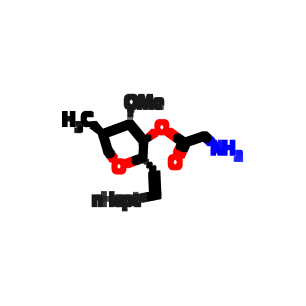 CCCCCCC/C=C\[C@@H]1OC[C@@H](C)[C@H](OC)[C@H]1OC(=O)CN